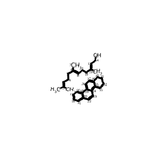 CC(C)=CCCC(C)=CCCC(C)=CCO.c1ccc2c(c1)ccc1c3c(ccc12)CCCC3